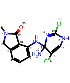 CN1Cc2cccc(NC3(N)N=C(Cl)NC=C3Cl)c2C1=O